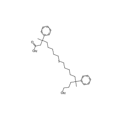 CC(CCCO)(CCCCCSCCCCCC(C)(CC(=O)O)c1ccccc1)c1ccccc1